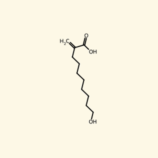 C=C(CCCCCCCCO)C(=O)O